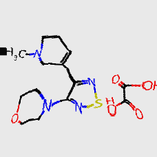 CN1CCC=C(c2nsnc2N2CCOCC2)C1.O=C(O)C(=O)O